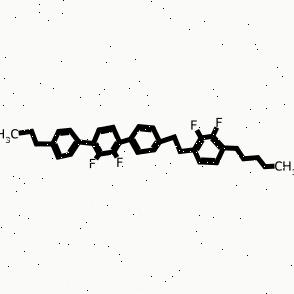 CCCCCc1ccc(CCc2ccc(-c3ccc(-c4ccc(CCC)cc4)c(F)c3F)cc2)c(F)c1F